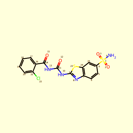 NS(=O)(=O)c1ccc2nc(NC(=O)NC(=O)c3ccccc3Cl)sc2c1